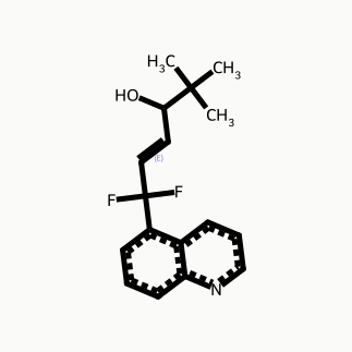 CC(C)(C)C(O)/C=C/C(F)(F)c1cccc2ncccc12